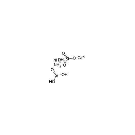 N.N.O.O=[Si](O)O.O=[Si]([O-])[O-].[Ca+2]